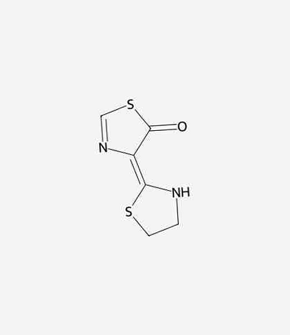 O=C1SC=NC1=C1NCCS1